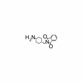 N[C@H]1CC[C@@H](CN2C(=O)c3ccccc3C2=O)CC1